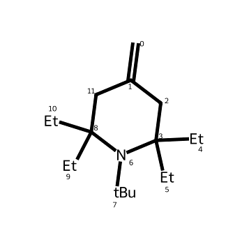 C=C1CC(CC)(CC)N(C(C)(C)C)C(CC)(CC)C1